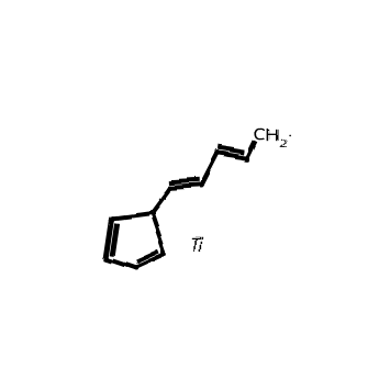 [CH2]C=CC=CC1C=CC=C1.[Ti]